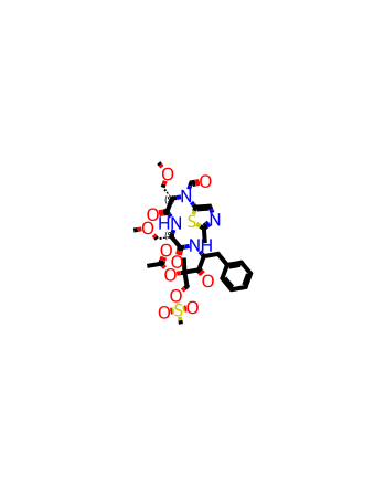 COC[C@H](NC(=O)[C@H](COC)N(C=O)c1cnc(C)s1)C(=O)NC(Cc1ccccc1)C(=O)C(C)(COS(C)(=O)=O)OC(C)=O